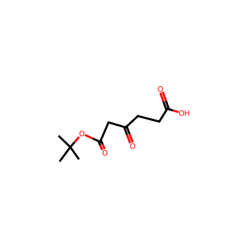 CC(C)(C)OC(=O)CC(=O)CCC(=O)O